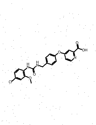 COc1cc(Cl)ccc1NC(=O)NCc1ccc(Oc2ccnc(C(=O)O)c2)cc1